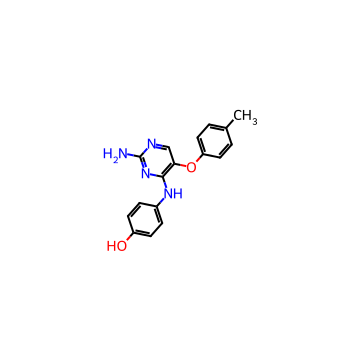 Cc1ccc(Oc2cnc(N)nc2Nc2ccc(O)cc2)cc1